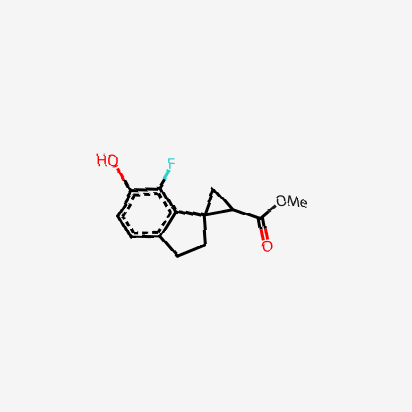 COC(=O)C1CC12CCc1ccc(O)c(F)c12